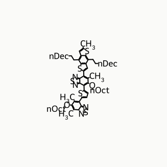 CCCCCCCCCCCCc1c2cc(-c3c(C)c(OCCCCCCCC)c(-c4ccc(-c5c(C)c(OCCCCCCCC)c(C)c6nsnc56)s4)c4nsnc34)sc2c(CCCCCCCCCCCC)c2cc(C)sc12